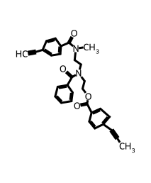 C#Cc1ccc(C(=O)N(C)CCN(CCOC(=O)c2ccc(C#CC)cc2)C(=O)c2ccccc2)cc1